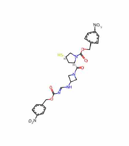 O=C(N=CNC1CN(C(=O)[C@@H]2C[C@H](S)CN2C(=O)OCc2ccc([N+](=O)[O-])cc2)C1)OCc1ccc([N+](=O)[O-])cc1